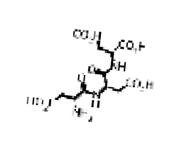 N[C@H](CC(=O)O)C(=O)N[C@H](CC(=O)O)C(=O)N[C@H](CC(=O)O)C(=O)O